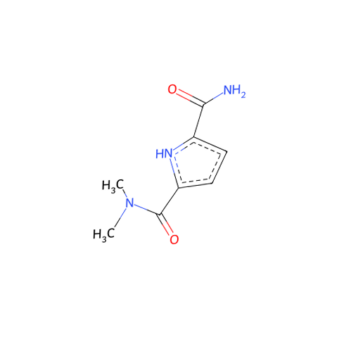 CN(C)C(=O)c1ccc(C(N)=O)[nH]1